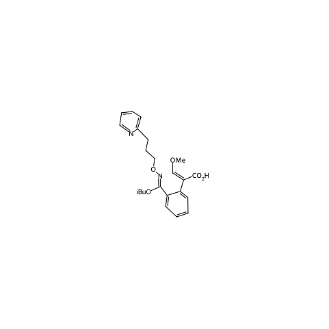 COC=C(C(=O)O)c1ccccc1C(=NOCCCc1ccccn1)OCC(C)C